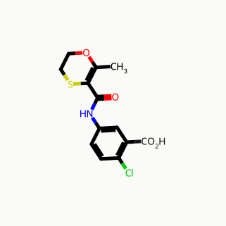 CC1=C(C(=O)Nc2ccc(Cl)c(C(=O)O)c2)SCCO1